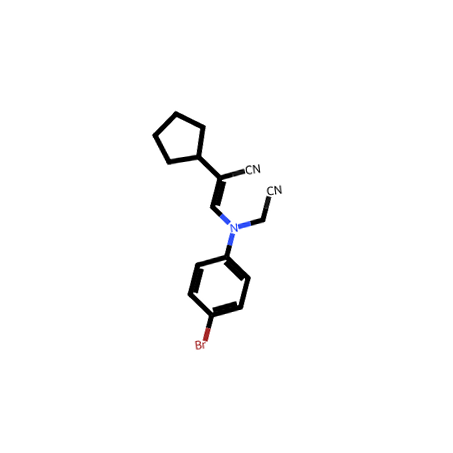 N#CCN(C=C(C#N)C1CCCC1)c1ccc(Br)cc1